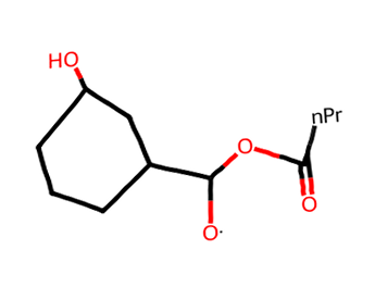 CCCC(=O)OC([O])C1CCCC(O)C1